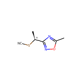 Cc1nc([C@H](C)SC#N)no1